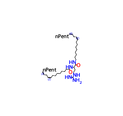 CCCCC/C=C\C/C=C\CCCCCCCCNC(=O)C(CCNC(=N)N)NC(=O)CCCCCCC/C=C\C/C=C\CCCCC